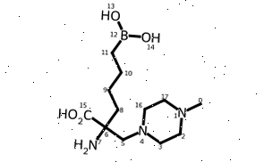 CN1CCN(CC(N)(CCCCB(O)O)C(=O)O)CC1